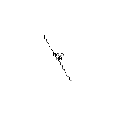 CCC(=O)O.CCCCCCCCCCCCNCCCCCCCCCCCC